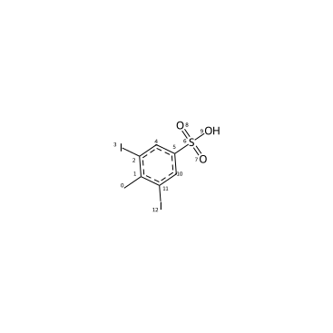 Cc1c(I)cc(S(=O)(=O)O)cc1I